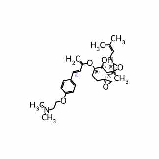 C=C(/C=C/c1ccc(OCCN(C)C)cc1)O[C@@H]1CCC2(CO2)[C@@H]([C@@]2(C)O[C@@H]2CC=C(C)C)[C@@H]1O